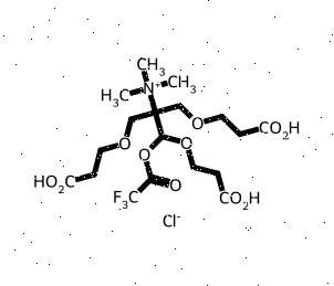 C[N+](C)(C)C(COCCC(=O)O)(COCCC(=O)O)C(OCCC(=O)O)OC(=O)C(F)(F)F.[Cl-]